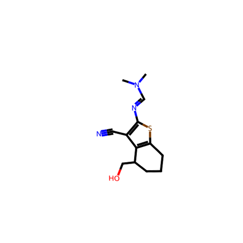 CN(C)/C=N/c1sc2c(c1C#N)C(CO)CCC2